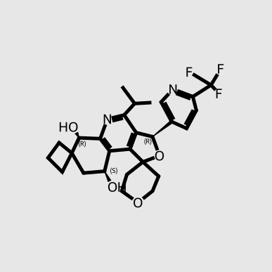 CC(C)c1nc2c(c3c1[C@@H](c1ccc(C(F)(F)F)nc1)OC31CCOCC1)[C@@H](O)CC1(CCC1)[C@H]2O